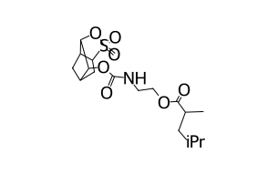 CC(C)CC(C)C(=O)OCCNC(=O)OC1C2CC3C1OS(=O)(=O)C3C2